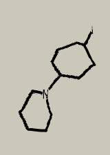 IC1CCC(N2CCCCC2)CC1